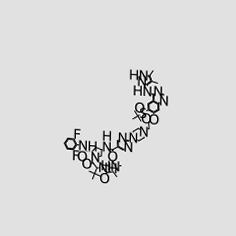 CNC(C)C(=O)NC(C(=O)N1C[C@@H](NC(=O)c2cnc(N3CCN(CCOc4cc5ncnc(Nc6n[nH]c(C)c6C)c5cc4S(=O)(=O)C(C)(C)C)CC3)nc2)C[C@H]1C(=O)Nc1c(F)cccc1F)C(C)(C)C